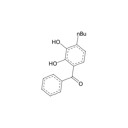 CCCCc1ccc(C(=O)c2ccccc2)c(O)c1O